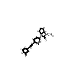 CN1C(=O)N(c2ccc(C#Cc3cccc(F)c3)nn2)C2CCCC21